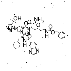 CC(C)(O)c1cnnn1[C@H]1C[C@@H](C(=O)NC(CCCCNC(=O)OCc2ccccc2)C(=O)C(N)=O)N(C(=O)[C@@H](CC2CCCCC2)NC(=O)c2ccc3nccnc3c2)C1